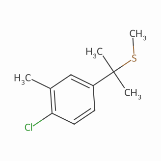 CSC(C)(C)c1ccc(Cl)c(C)c1